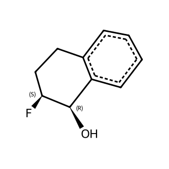 O[C@@H]1c2ccccc2CC[C@@H]1F